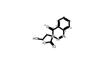 O=C([O-])[N+]1(CCO)N=Nc2ccccc2C1=O